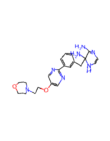 NC1=NC=CNC1(N)Cc1cccc(-c2ncc(OCCN3CCOCC3)cn2)c1